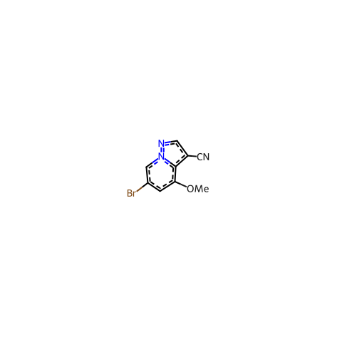 COc1cc(Br)cn2ncc(C#N)c12